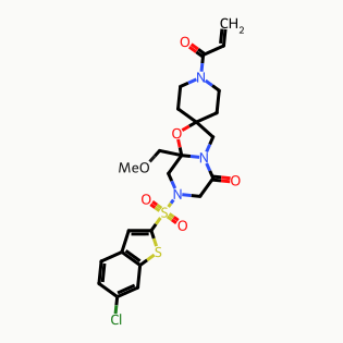 C=CC(=O)N1CCC2(CC1)CN1C(=O)CN(S(=O)(=O)c3cc4ccc(Cl)cc4s3)CC1(COC)O2